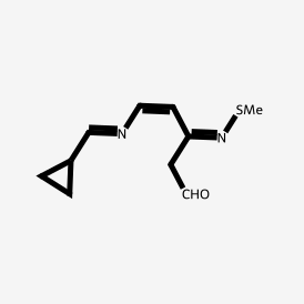 CS\N=C(/C=C\N=C\C1CC1)CC=O